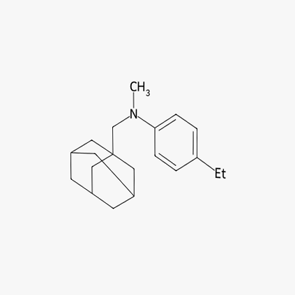 CCc1ccc(N(C)CC23CC4CC(CC(C4)C2)C3)cc1